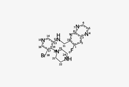 Fc1cc2nccnc2cc1CNc1cncc(Br)c1N1CCNCC1